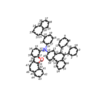 c1ccc(-c2c(-c3ccccc3)c3cc(N(c4cccc(-c5cccc6ccccc56)c4)c4cccc5c4oc4c6ccccc6ccc54)ccc3c3ccccc23)cc1